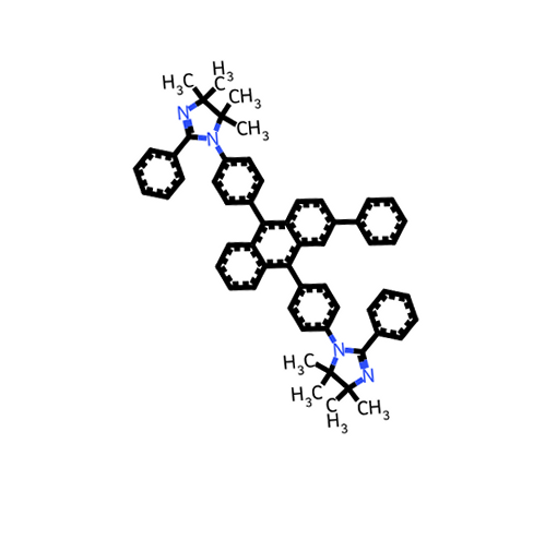 CC1(C)N=C(c2ccccc2)N(c2ccc(-c3c4ccccc4c(-c4ccc(N5C(c6ccccc6)=NC(C)(C)C5(C)C)cc4)c4cc(-c5ccccc5)ccc34)cc2)C1(C)C